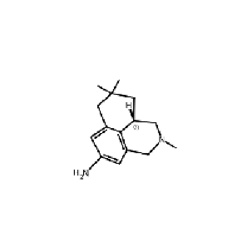 CN1Cc2cc(N)cc3c2[C@@H](C1)CC(C)(C)C3